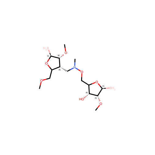 B[C@@H]1OC(CON(C)C[C@@H]2C(COC)O[C@@H](B)[C@@H]2OC)[C@@H](O)[C@H]1OC